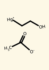 CC(=O)[O-].OC[CH2][Hg+]